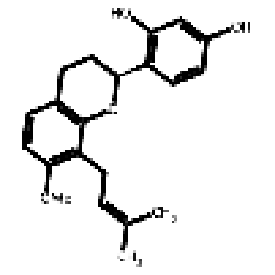 COc1ccc2c(c1CC=C(C)C)O[C@H](c1ccc(O)cc1O)CC2